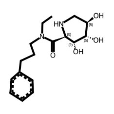 CCN(CCCc1ccccc1)C(=O)[C@H]1NC[C@@H](O)[C@H](O)[C@@H]1O